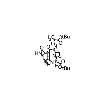 C[C@H](O/N=C(\C(=O)N[C@@H]1C(=O)N[C@@H]1Cn1cncn1)c1csc(NC(=O)OC(C)(C)C)n1)C(=O)OC(C)(C)C